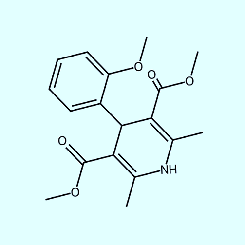 COC(=O)C1=C(C)NC(C)=C(C(=O)OC)C1c1ccccc1OC